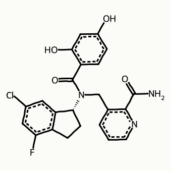 NC(=O)c1ncccc1CN(C(=O)c1ccc(O)cc1O)[C@@H]1CCc2c(F)cc(Cl)cc21